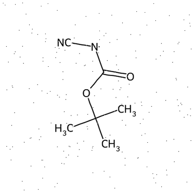 CC(C)(C)OC(=O)[N]C#N